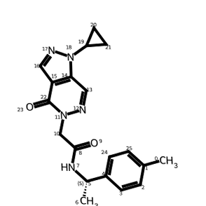 Cc1ccc([C@H](C)NC(=O)Cn2ncc3c(cnn3C3CC3)c2=O)cc1